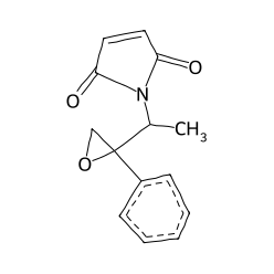 CC(N1C(=O)C=CC1=O)C1(c2ccccc2)CO1